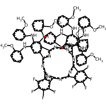 COc1ccccc1Nc1cc2c(c(Nc3ccccc3OC)c1Nc1ccccc1OC)-c1nc-2nc2[nH]c(nc3nc(nc4c5c(Nc6ccccc6OC)c(Nc6ccccc6OC)c(Nc6ccccc6OC)c(Nc6ccccc6OC)c5c(n1)n4Nc1ccccc1OC)-c1c(F)c(F)c(F)c(F)c1-3)c1c(F)c(F)c(F)c(F)c21